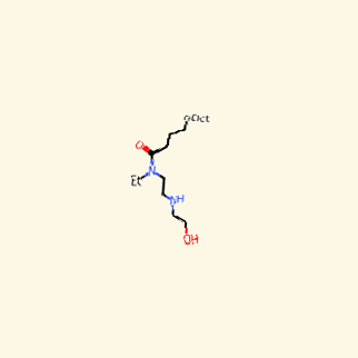 CCCCCCCCCCCC(=O)N(CC)CCNCCO